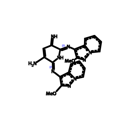 COc1nn2ccccc2c1/N=C1\N/C(=N\c2c(OC)nn3ccccc23)C(N)=CC1=N